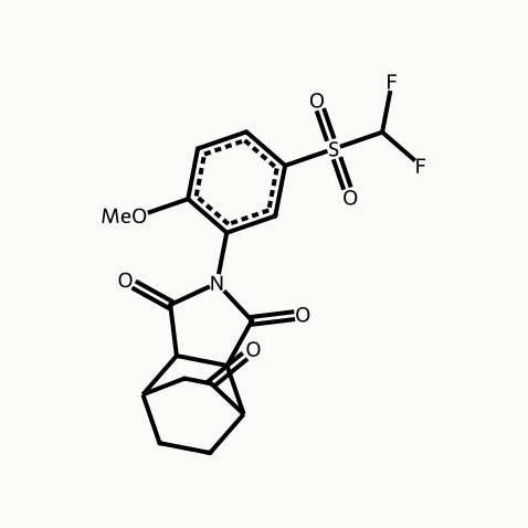 COc1ccc(S(=O)(=O)C(F)F)cc1N1C(=O)C2C3CCC(C(=O)C3)C2C1=O